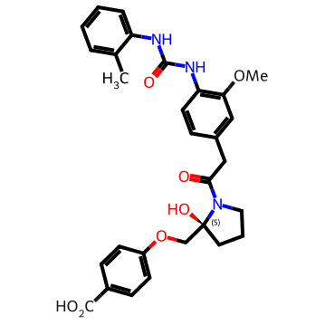 COc1cc(CC(=O)N2CCC[C@]2(O)COc2ccc(C(=O)O)cc2)ccc1NC(=O)Nc1ccccc1C